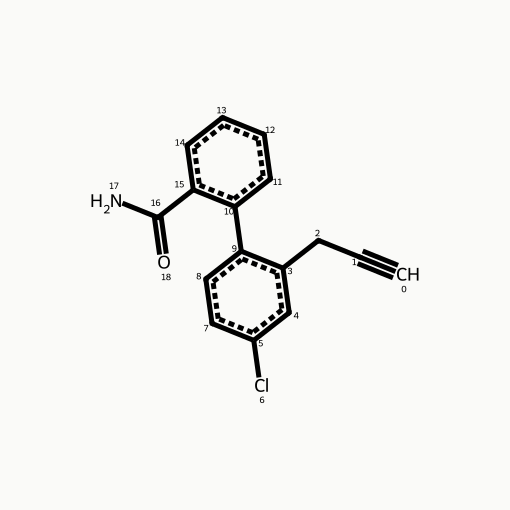 C#CCc1cc(Cl)ccc1-c1ccccc1C(N)=O